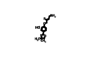 CC1(C)COC(c2ccc(OCC(F)=CCN)cc2)=N1.Cl